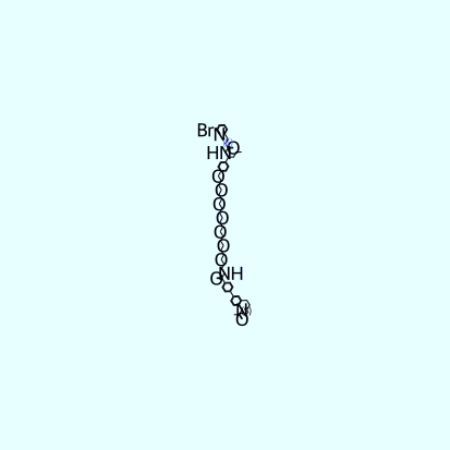 CCCC(NC(=O)/C=C/c1cccc(Br)n1)c1ccc(OCCOCCOCCOCCOCCOCCOCCNC(=O)c2ccc(-c3ccc4c(c3)CC[C@H](C)N4C(C)=O)cc2)cc1